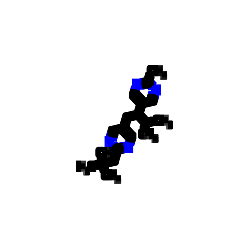 Cc1ncc(C(Cc2cnc(CC(C)(C)C)nc2)C(C)C)cn1